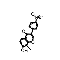 Cc1c(O)ccc2c(=O)c(-c3ccc([N+](=O)[O-])cc3)coc12